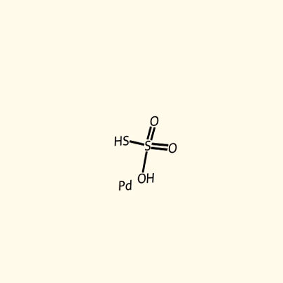 O=S(=O)(O)S.[Pd]